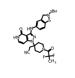 CC(F)(F)C(=O)N1CCC(CC#N)(n2nc(Nc3ccc4c(c3)CN(C(C)(C)C)S4)c3c(=O)[nH]ccc32)CC1